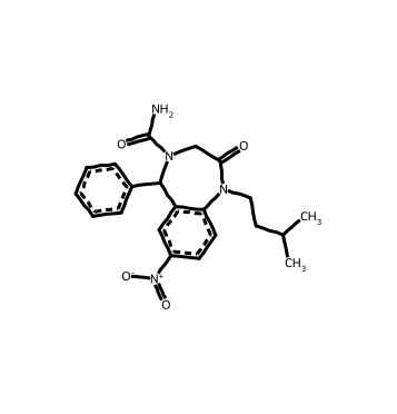 CC(C)CCN1C(=O)CN(C(N)=O)C(c2ccccc2)c2cc([N+](=O)[O-])ccc21